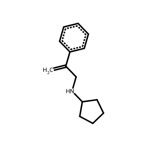 C=C(CNC1CCCC1)c1ccccc1